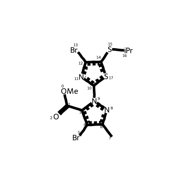 COC(=O)c1c(Br)c(C)nn1-c1nc(Br)c(SC(C)C)s1